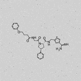 N=C(N)c1csc(CNC(=O)[C@@H]2C[C@@H](c3ccccc3)CN2C(=O)CNC(=O)CCCOc2ccccc2)c1